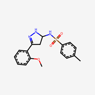 COc1ccccc1C1=NNC(NS(=O)(=O)c2ccc(C)cc2)C1